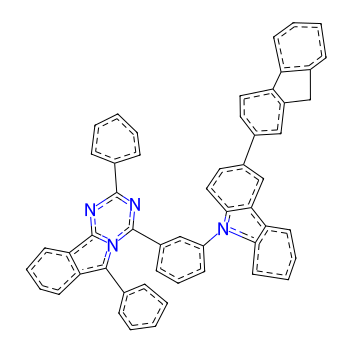 c1ccc(-c2nc(-c3cccc(-n4c5ccccc5c5cc(-c6ccc7c(c6)Cc6ccccc6-7)ccc54)c3)n3c(-c4ccccc4)c4ccccc4c3n2)cc1